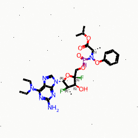 CCN(CC)c1nc(N)nc2c1ncn2[C@@H]1O[C@](F)(CO[PH](=O)N(Oc2ccccc2)[C@@H](C)C(=O)OC(C)C)[C@@H](O)[C@@]1(C)F